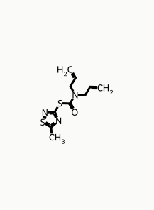 C=CCN(CC=C)C(=O)Sc1nsc(C)n1